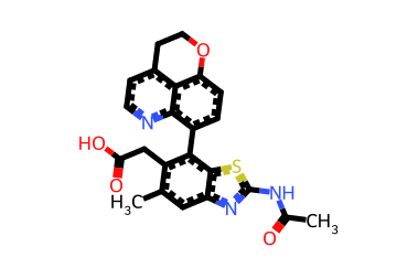 CC(=O)Nc1nc2cc(C)c(CC(=O)O)c(-c3ccc4c5c(ccnc35)CCO4)c2s1